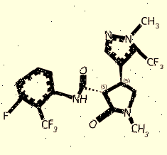 CN1C[C@H](c2cnn(C)c2C(F)(F)F)[C@@H](C(=O)Nc2cccc(F)c2C(F)(F)F)C1=O